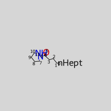 CCCCCCCCCCC(=O)N1CCCCN1